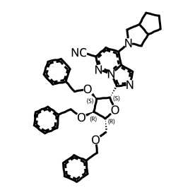 N#Cc1cc(N2CC3CCCC3C2)c2cnc([C@@H]3O[C@H](COCc4ccccc4)[C@@H](OCc4ccccc4)[C@H]3OCc3ccccc3)n2n1